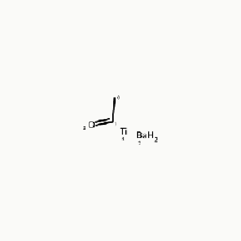 CC=O.[BaH2].[Ti]